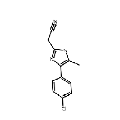 Cc1sc(CC#N)nc1-c1ccc(Cl)cc1